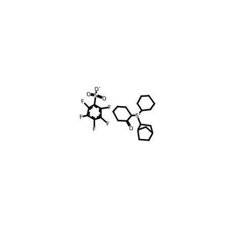 O=C1CCCCC1[S+](C1CCCCC1)C1CC2CCC1C2.O=S(=O)([O-])c1c(F)c(F)c(F)c(F)c1F